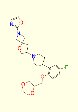 Fc1ccc(OCC2COCCO2)c(C2CCN(C3COC4(C3)CN(c3ncco3)C4)CC2)c1